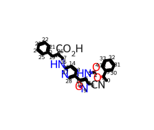 CC(OC(=O)Nc1c(C#N)noc1-c1ccc(NCC(Cc2ccccc2)C(=O)O)nc1)c1ccccc1